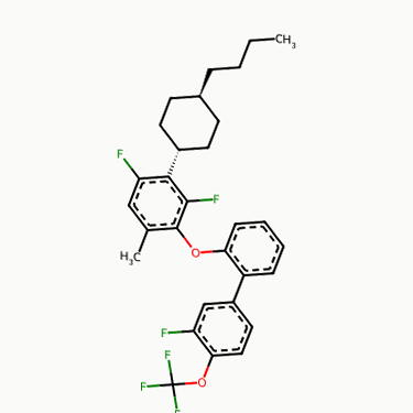 CCCC[C@H]1CC[C@H](c2c(F)cc(C)c(Oc3ccccc3-c3ccc(OC(F)(F)F)c(F)c3)c2F)CC1